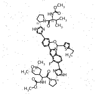 CCc1ccc(C2Oc3cc(-c4c[nH]c([C@@H]5CCCN5C(=O)[C@@H](NC(=O)OC)C(C)C)n4)ccc3-c3cc4c(F)c(-c5c[nH]c([C@@H]6CCCN6C(=O)C(NC(=O)OC)C6C[C@@H](C)O[C@@H](C)C6)n5)ccc4n32)s1